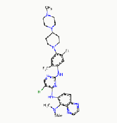 CCc1cc(Nc2ncc(Br)c(Nc3ccc4nccnc4c3N(C)SC)n2)c(C(F)(F)F)cc1N1CCC(N2CCN(C)CC2)CC1